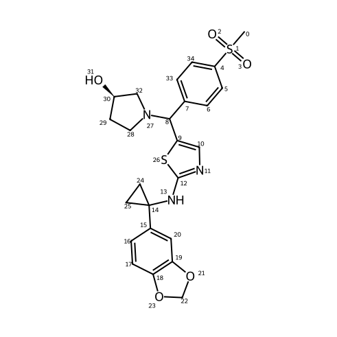 CS(=O)(=O)c1ccc(C(c2cnc(NC3(c4ccc5c(c4)OCO5)CC3)s2)N2CC[C@@H](O)C2)cc1